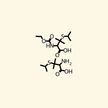 CC(C)SC(C)(C)C(N)C(=O)O.CCOC(=O)NC(C(=O)O)C(C)(C)SC(C)C